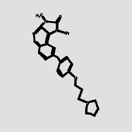 CC(C)n1c(=O)n(C)c2nnc3ccc(-c4ccc(OCCCN5CCCC5)cc4)cc3c21